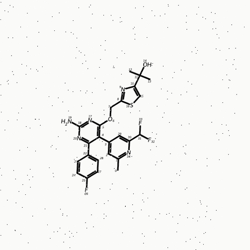 Cc1cc(-c2c(OCc3nc(C(C)(C)O)cs3)nc(N)nc2-c2ccc(F)cc2)cc(C(F)F)n1